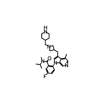 Cc1cncc2c1c(CC1CN(CC3CCNCC3)C1)cn2-c1ccc(F)cc1C(=O)N(C)C(C)C